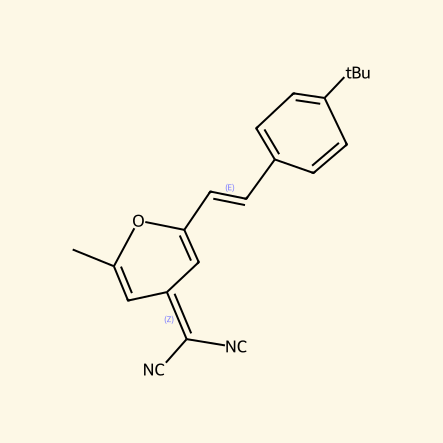 [C-]#[N+]/C(C#N)=C1/C=C(C)OC(/C=C/c2ccc(C(C)(C)C)cc2)=C1